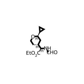 CCOC(=O)[C@H](NC=O)[C@@H]1CCO[C@@H](C2CC2)C1